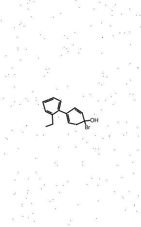 CCc1ccccc1C1=CCC(O)(Br)C=C1